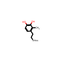 CCCCCCCCc1ccc(O)c(O)c1C